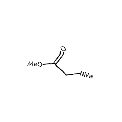 [CH2]OC(=O)CNC